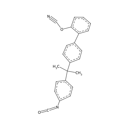 CC(C)(c1ccc(N=C=O)cc1)c1ccc(-c2ccccc2OC#N)cc1